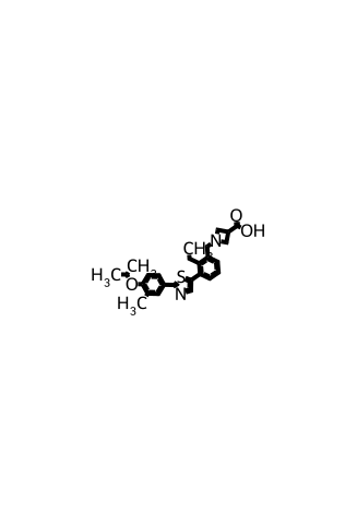 CCc1c(CN2CC(C(=O)O)C2)cccc1-c1cnc(-c2ccc(OC(C)C)c(C)c2)s1